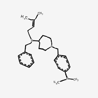 CC(C)=CCN(Cc1ccccc1)C1CCN(Cc2ccc(N(C)C)cc2)CC1